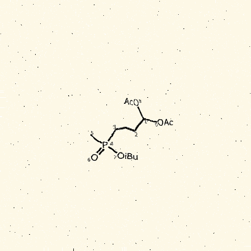 CC(=O)OC(CCP(C)(=O)OCC(C)C)OC(C)=O